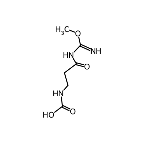 COC(=N)NC(=O)CCNC(=O)O